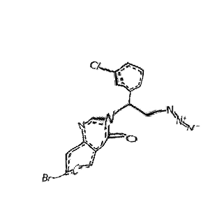 [N-]=[N+]=NCC(c1cccc(Cl)c1)n1cnc2cc(Br)ccc2c1=O